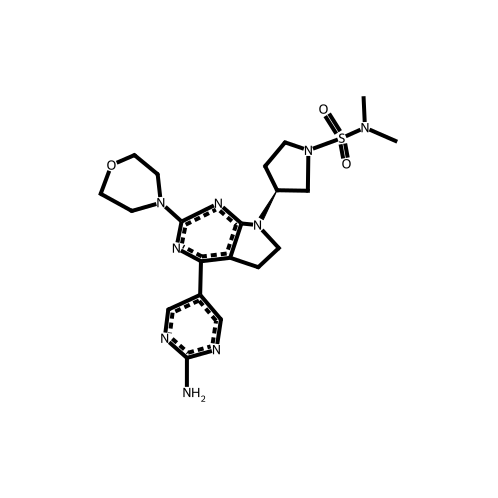 CN(C)S(=O)(=O)N1CC[C@H](N2CCc3c(-c4cnc(N)nc4)nc(N4CCOCC4)nc32)C1